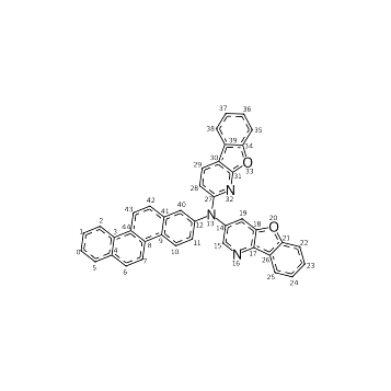 c1ccc2c(c1)ccc1c3ccc(N(c4cnc5c(c4)oc4ccccc45)c4ccc5c(n4)oc4ccccc45)cc3ccc21